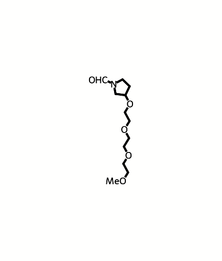 COCCOCCOCCOC1CCN(C=O)C1